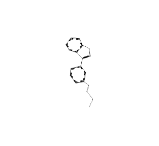 CCCCc1cccc(C2=C[CH]c3ccccc32)c1